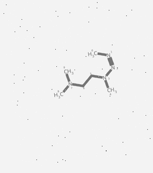 C/N=N\N(C)CCN(C)C